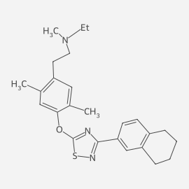 CCN(C)CCc1cc(C)c(Oc2nc(-c3ccc4c(c3)CCCC4)ns2)cc1C